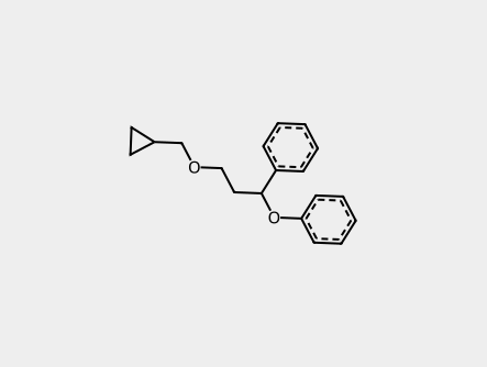 c1ccc(OC(CCOCC2CC2)c2ccccc2)cc1